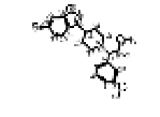 COc1cccc(C([C@H](C)OC)N2CCC(c3noc4cc(F)ccc34)CC2)c1